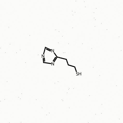 SCCCc1ncncn1